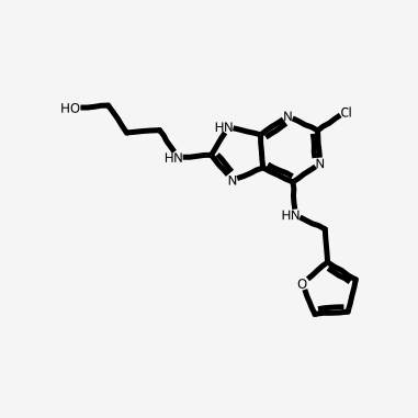 OCCCNc1nc2c(NCc3ccco3)nc(Cl)nc2[nH]1